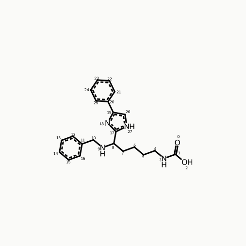 O=C(O)NCCCCC(NCc1ccccc1)c1nc(-c2ccccc2)c[nH]1